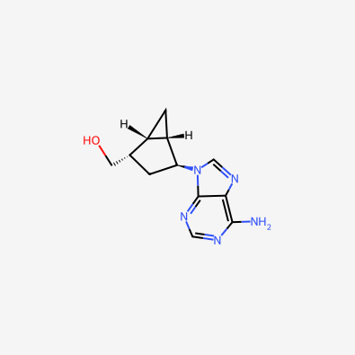 Nc1ncnc2c1ncn2[C@H]1C[C@H](CO)[C@@H]2C[C@@H]21